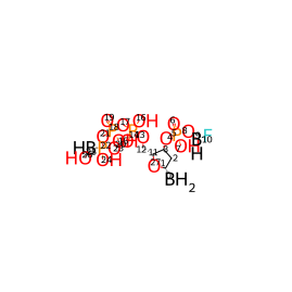 B[C@H]1C[C@H](OP(=O)(O)OBF)[C@@H](COP(=O)(O)OP(=O)(O)OP(=O)(O)BO)O1